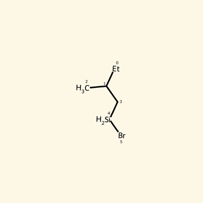 CCC(C)C[SiH2]Br